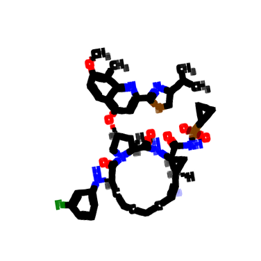 COc1ccc2c(O[C@@H]3C[C@H]4C(=O)N[C@]5(C(=O)NS(=O)(=O)C6CC6)C[C@H]5/C=C\CCCCC[C@H](Nc5cccc(F)c5)C(=O)N4C3)cc(C3=NC(C(C)C)CS3)nc2c1C